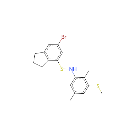 CSc1cc(C)cc(NSc2cc(Br)cc3c2CCC3)c1C